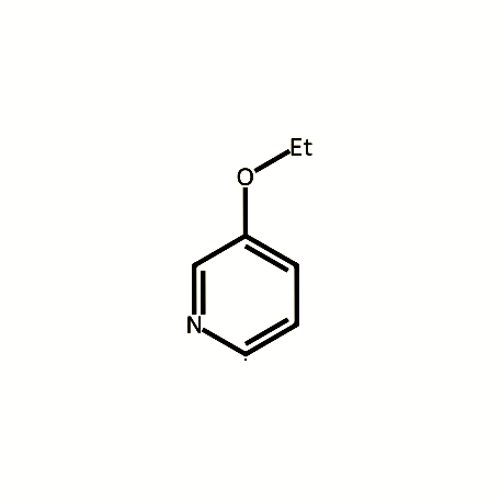 CCOc1cc[c]nc1